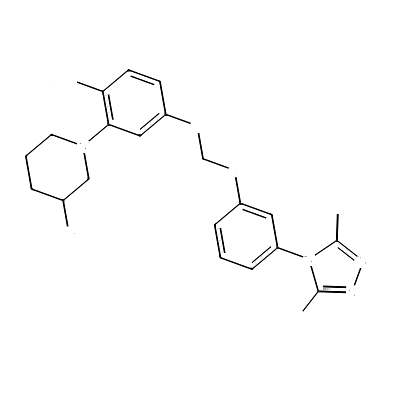 O=C(O)c1ccc(OCNc2cccc(-n3c(S)nnc3S)c2)cc1N1CCCC(O)C1